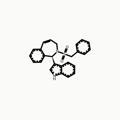 O=S(=O)(Cc1ccccc1)N1CC=Cc2ccccc2[C@@H]1c1c[nH]c2ccccc12